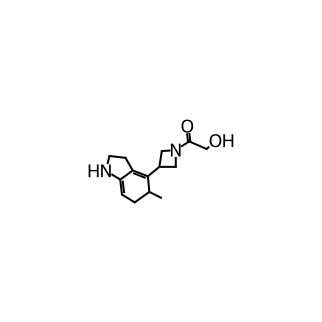 CC1CC=C2NCCC2=C1C1CN(C(=O)CO)C1